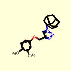 COc1ccc(OCc2cn(C34CC5CC(CC(C5)C3)C4)nn2)cc1OC